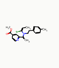 C=C(c1cc(C(=O)OC)ccn1)N(CCc1ccc(C)cc1)/C(Br)=C\C